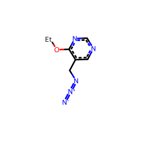 CCOc1ncncc1CN=[N+]=[N-]